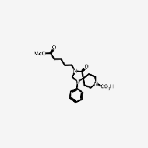 COC(=O)CCCCN1CN(c2ccccc2)C2(CCN(C(=O)O)CC2)C1=O